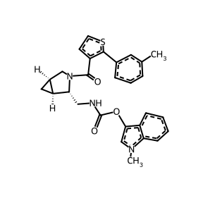 Cc1cccc(-c2sccc2C(=O)N2C[C@@H]3C[C@@H]3[C@H]2CNC(=O)Oc2cn(C)c3ccccc23)c1